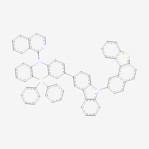 c1ccc([Si]2(c3ccccc3)c3ccccc3N(c3nccc4ccccc34)c3ccc(-c4ccc5c(c4)c4ccccc4n5-c4ccc5ccc6sc7ccccc7c6c5c4)cc32)cc1